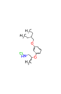 CCC(CC)COc1cccc(O[C@@H](C)CNCl)c1